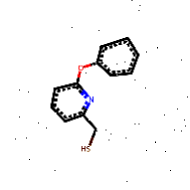 SCc1cccc(Oc2ccccc2)n1